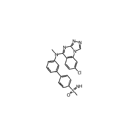 CN(c1cccc(-c2ccc(S(C)(=N)=O)cc2)c1)c1nc2nncn2c2cc(Cl)ccc12